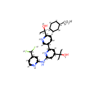 CC(C)(O)c1cc(Nc2cc(C(F)F)ccn2)nc(-c2ccc(C(C)(O)[C@H]3CC[C@H](C(=O)O)CC3)nc2)c1